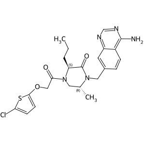 CCC[C@H]1C(=O)N(Cc2ccc3c(N)ncnc3c2)[C@H](C)CN1C(=O)COc1ccc(Cl)s1